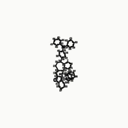 c1ccc(-c2cccc3c2-c2c(cc4oc5ccccc5c4c2-c2ccccc2)CCC3c2ccc(N(c3ccccc3)c3ccccc3)cc2)cc1